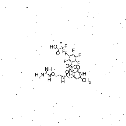 Cc1cc(CC(=O)NCCONC(=N)N)c(NS(=O)(=O)c2c(F)c(F)c(F)c(F)c2F)c(=O)[nH]1.O=C(O)C(F)(F)F